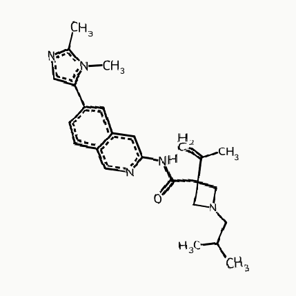 C=C(C)C1(C(=O)Nc2cc3cc(-c4cnc(C)n4C)ccc3cn2)CN(CC(C)C)C1